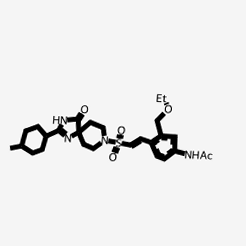 CCOCc1cc(NC(C)=O)ccc1C=CS(=O)(=O)N1CCC2(CC1)N=C(C1CCC(C)CC1)NC2=O